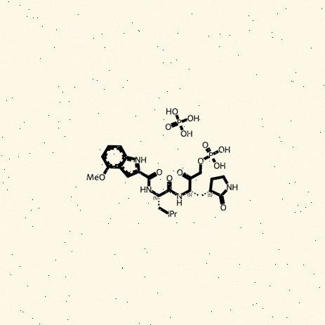 COc1cccc2[nH]c(C(=O)N[C@@H](CC(C)C)C(=O)N[C@@H](C[C@@H]3CCNC3=O)C(=O)COP(=O)(O)O)cc12.O=P(O)(O)O